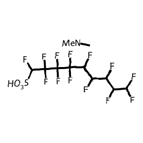 CNC.O=S(=O)(O)C(F)C(F)(F)C(F)(F)C(F)(F)C(F)C(F)C(F)C(F)C(F)F